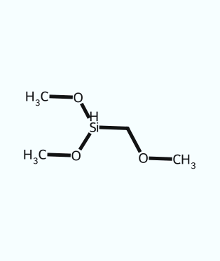 COC[SiH](OC)OC